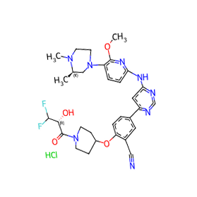 COc1nc(Nc2cc(-c3ccc(OC4CCN(C(=O)[C@@H](O)C(F)F)CC4)c(C#N)c3)ncn2)ccc1N1CCN(C)[C@H](C)C1.Cl